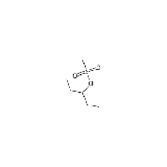 CCC(CC)OS(C)(=O)=O